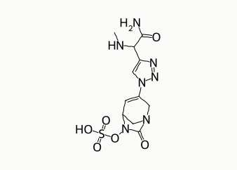 CNC(C(N)=O)c1cn(C2=CC3CN(C2)C(=O)N3OS(=O)(=O)O)nn1